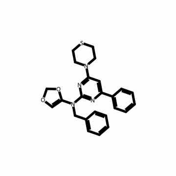 C1=C(N(Cc2ccccc2)c2nc(-c3ccccc3)cc(N3CCSCC3)n2)OCO1